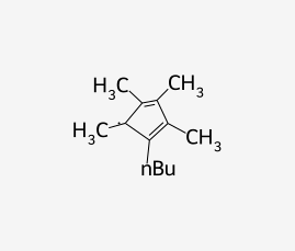 CCCCC1=C(C)C(C)=C(C)[C]1C